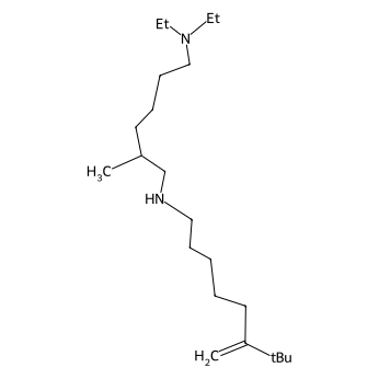 C=C(CCCCCNCC(C)CCCCN(CC)CC)C(C)(C)C